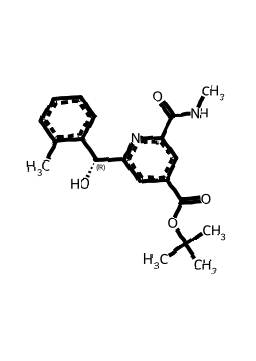 CNC(=O)c1cc(C(=O)OC(C)(C)C)cc([C@H](O)c2ccccc2C)n1